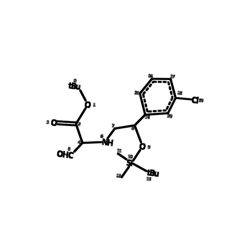 CC(C)(C)OC(=O)C(C=O)NCC(O[Si](C)(C)C(C)(C)C)c1cccc(Cl)c1